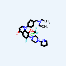 CCN(CC)Cc1ccc(-n2ccc(=O)c3cc(F)c(N4CCN(c5ccccn5)CC4)c(OC(F)(F)Cl)c32)cc1